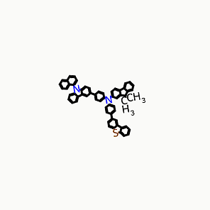 CC1(C)c2ccccc2-c2ccc(N(c3ccc(-c4ccc5sc6ccccc6c5c4)cc3)c3ccc(-c4ccc5c(c4)c4ccccc4n5-c4cccc5ccccc45)cc3)cc21